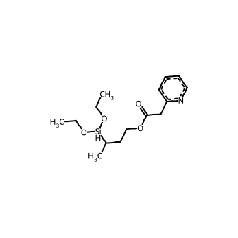 CCO[SiH](OCC)C(C)CCOC(=O)Cc1ccccn1